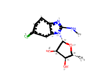 CC(C)Nc1nc2ccc(Cl)cc2n1[C@@H]1O[C@H](C)[C@@H](O)[C@H]1O